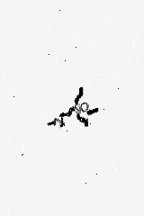 CCC[Si](CCC)(CCCN(C)C)OCC